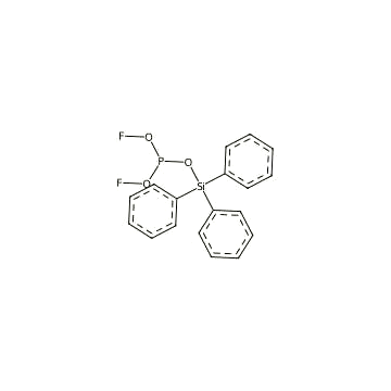 FOP(OF)O[Si](c1ccccc1)(c1ccccc1)c1ccccc1